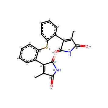 CC1=C(c2ccccc2Sc2ccccc2C2=C(C)C(=O)NC2=O)C(=O)NC1=O